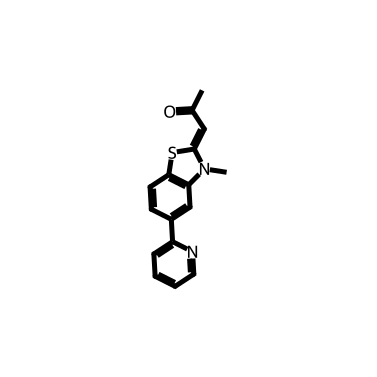 CC(=O)/C=C1\Sc2ccc(-c3ccccn3)cc2N1C